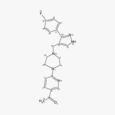 CC(=O)c1ccc(N2CCN(Cc3c[nH]nc3-c3ccc(F)cc3)CC2)nc1